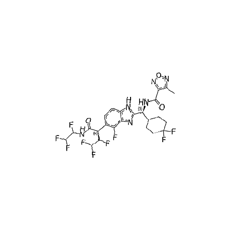 Cc1nonc1C(=O)N[C@H](c1nc2c(F)c([C@H](C(=O)NC(F)C(F)F)C(F)C(F)F)ccc2[nH]1)C1CCC(F)(F)CC1